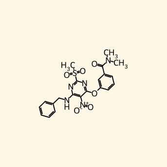 CN(C)C(=O)c1cccc(Oc2nc(S(C)(=O)=O)nc(NCc3ccccc3)c2[N+](=O)[O-])c1